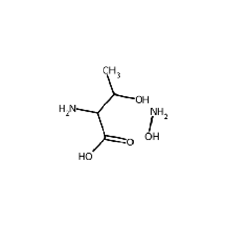 CC(O)C(N)C(=O)O.NO